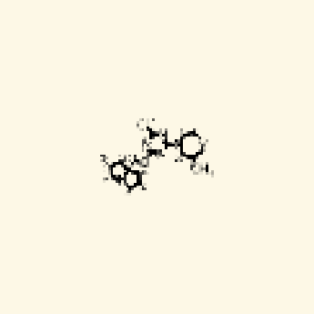 CC1COCCN(c2nc(Cl)nc(OC[C@@]34CCCN3C[C@H](F)C4)n2)C1